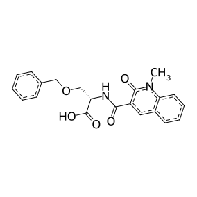 Cn1c(=O)c(C(=O)N[C@@H](COCc2ccccc2)C(=O)O)cc2ccccc21